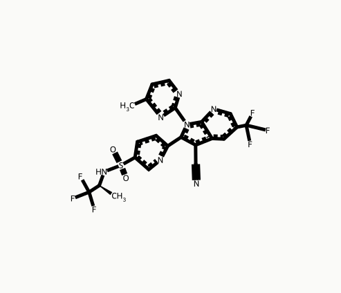 Cc1ccnc(-n2c(-c3ccc(S(=O)(=O)N[C@@H](C)C(F)(F)F)cn3)c(C#N)c3cc(C(F)(F)F)cnc32)n1